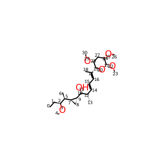 CC[C@H](OC)[C@@H](C)[C@@H]1C[C@H]1[C@H](O)[C@@H](C)/C=C/C=C(\C)[C@H]1O[C@@H](OC)[C@H](OC)C[C@H]1OC